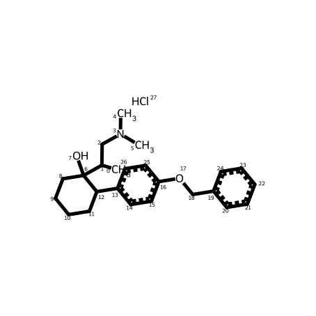 CC(CN(C)C)C1(O)CCCCC1c1ccc(OCc2ccccc2)cc1.Cl